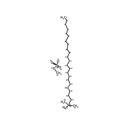 CCCCCCCCCCCCCCCCCCOCCC[N+](C)(C)C.COS(=O)(=O)[O-]